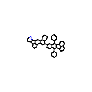 c1ccc(-c2c3c(c(-c4ccccc4)c4cc(-c5cc6c7cccc8c7c(cc6c6ccccc56)-c5ncccc5-8)ccc24)-c2cccc4cccc-3c24)cc1